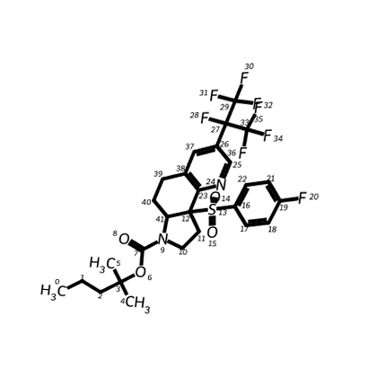 CCCC(C)(C)OC(=O)N1CCC2(S(=O)(=O)c3ccc(F)cc3)c3ncc(C(F)(C(F)(F)F)C(F)(F)F)cc3CCC12